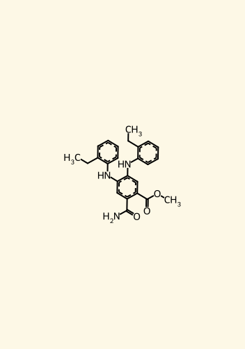 CCc1ccccc1Nc1cc(C(N)=O)c(C(=O)OC)cc1Nc1ccccc1CC